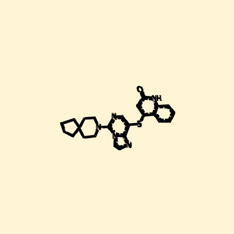 O=c1cc(Sc2cnc(N3CCC4(CCCC4)CC3)n3ccnc23)c2ccccc2[nH]1